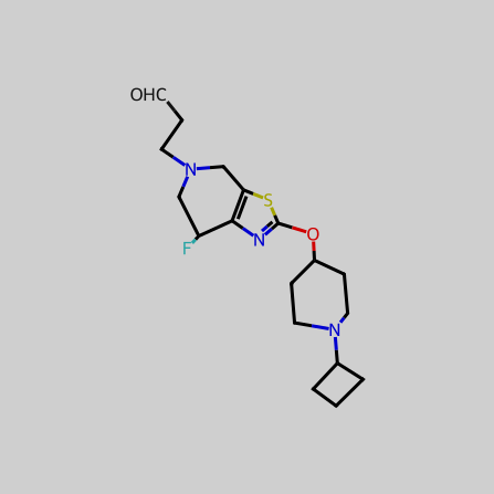 O=CCCN1Cc2sc(OC3CCN(C4CCC4)CC3)nc2C(F)C1